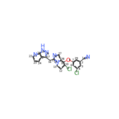 N#Cc1cc(Cl)cc(Oc2c(Cl)ccn3c(Cc4n[nH]c5ncccc45)ncc23)c1